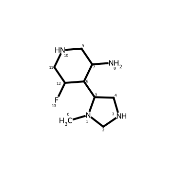 CN1CNCC1C1C(N)CNCC1F